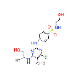 CC(C)C(CO)Nc1nc(Nc2ccc(S(=O)(=O)NCCO)cc2)nc(Cl)c1C=O